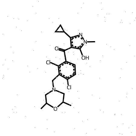 CC1CN(Cc2c(Cl)ccc(C(=O)c3c(C4CC4)nn(C)c3O)c2Cl)CC(C)O1